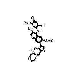 COc1cc(Nc2c(C#N)cnc3cc(-c4cnc(CN5CCOCC5)n4C)c(OC)cc23)c(Cl)cc1Cl